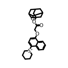 O=C(COc1ccc([S+]2CCCCC2)c2ccccc12)OC12CC3CC(C1)C(=O)C(C3)C2